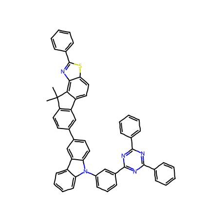 CC1(C)c2ccc(-c3ccc4c(c3)c3ccccc3n4-c3cccc(-c4nc(-c5ccccc5)nc(-c5ccccc5)n4)c3)cc2-c2ccc3sc(-c4ccccc4)nc3c21